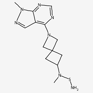 CN(SN)C1CC2(C1)CN(c1ncnc3c1cnn3C)C2